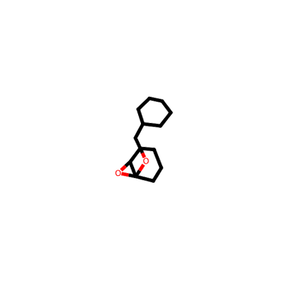 C1CCC(CC23CCCC4(OC24)O3)CC1